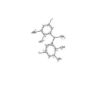 CCCCc1cc(C)cc(C(P)c2cc(C)cc(CCCC)c2O)c1O